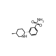 C[C@H]1CC[C@H](c2cccc(S(N)(=O)=O)c2)NC1